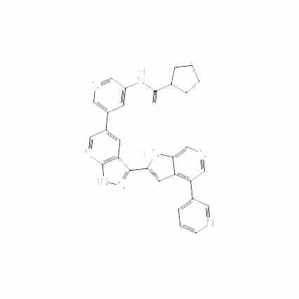 O=C(Nc1cncc(-c2cnc3[nH]nc(-c4cc5c(-c6cccnc6)cncc5[nH]4)c3c2)c1)C1CCCC1